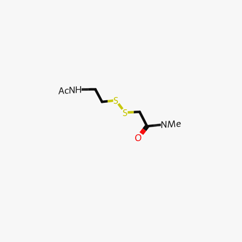 CNC(=O)CSSCCNC(C)=O